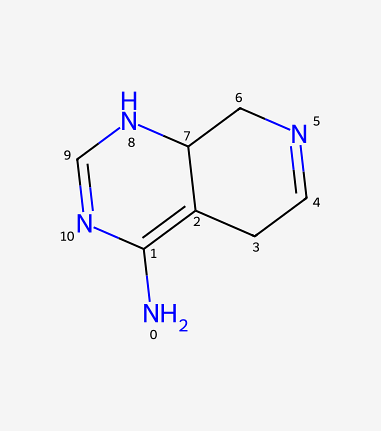 NC1=C2CC=NCC2NC=N1